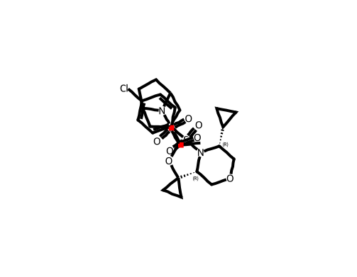 CCS(=O)(=O)N1C2CCC1CN(C(=O)OC1([C@H]3COC[C@@H](C4CC4)N3S(=O)(=O)c3ccc(Cl)cc3)CC1)C2